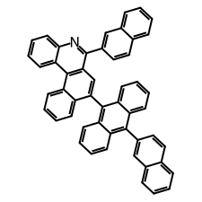 c1ccc2cc(-c3c4ccccc4c(-c4cc5c(-c6ccc7ccccc7c6)nc6ccccc6c5c5ccccc45)c4ccccc34)ccc2c1